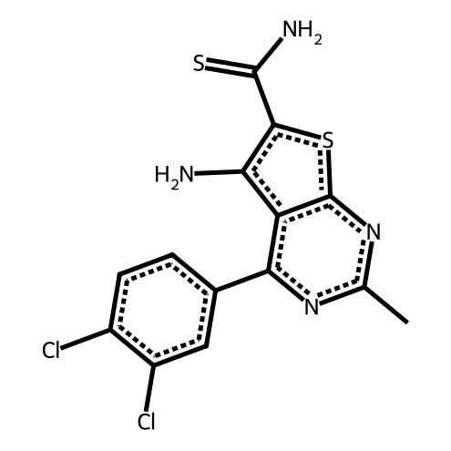 Cc1nc(-c2ccc(Cl)c(Cl)c2)c2c(N)c(C(N)=S)sc2n1